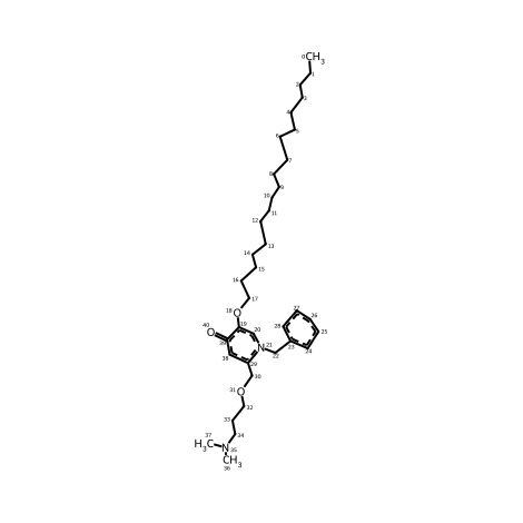 CCCCCCCCCCCCCCCCCCOc1cn(Cc2ccccc2)c(COCCCN(C)C)cc1=O